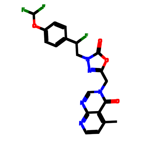 Cc1ccnc2ncn(Cc3nn(CC(F)c4ccc(OC(F)F)cc4)c(=O)o3)c(=O)c12